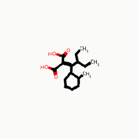 CCC(CC)C(=C(C(=O)O)C(=O)O)C1CCCCC1C